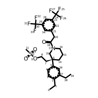 CCc1ccc([C@@]2(CCOS(C)(=O)=O)CCCN(C(=O)Cc3cc(C(F)(F)F)cc(C(F)(F)F)c3)C2)cc1CC